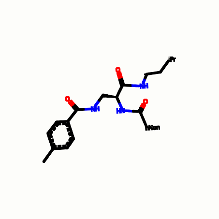 CCCCCCCCCC(=O)N[C@@H](CNC(=O)c1ccc(C)cc1)C(=O)N[CH]CC(C)C